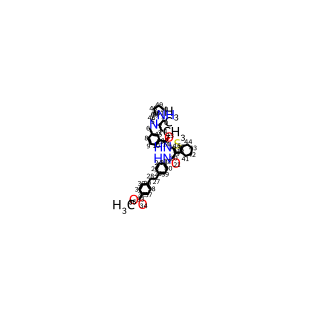 CCC(CC)N(Cc1cccc(C(=O)Nc2sc3c(c2C(=O)Nc2ccc(CCc4ccc(C(=O)OC)cc4)cc2)CCCC3)c1)C[C@@H]1CCCN1